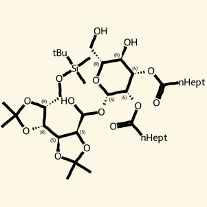 CCCCCCCC(=O)O[C@@H]1[C@H](OC(O)[C@H]2OC(C)(C)O[C@H]2[C@@H]2OC(C)(C)O[C@@H]2CO[Si](C)(C)C(C)(C)C)O[C@H](CO)[C@@H](O)[C@@H]1OC(=O)CCCCCCC